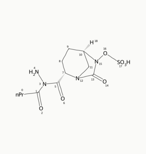 CCCC(=O)N(N)C(=O)[C@@H]1CC[C@@H]2CN1C(=O)N2OS(=O)(=O)O